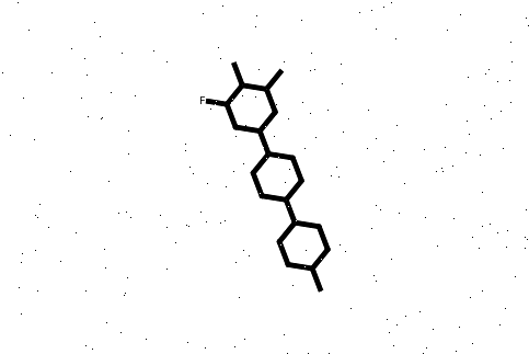 CC1CCC(C2CCC(C3CC(C)C(C)C(F)C3)CC2)CC1